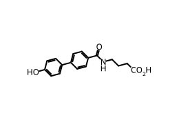 O=C(O)CCCNC(=O)c1ccc(-c2ccc(O)cc2)cc1